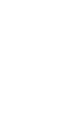 SCCC(CS)CS